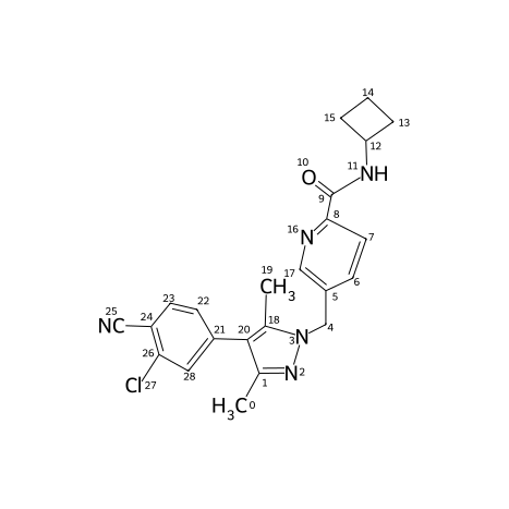 Cc1nn(Cc2ccc(C(=O)NC3CCC3)nc2)c(C)c1-c1ccc(C#N)c(Cl)c1